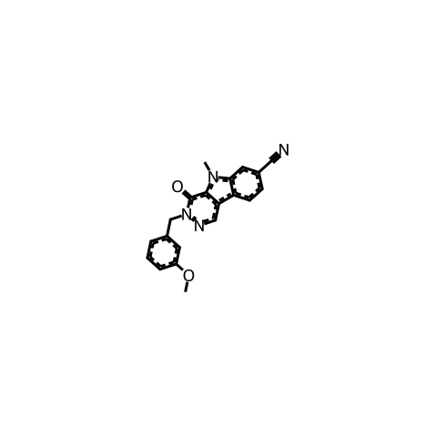 COc1cccc(Cn2ncc3c4ccc(C#N)cc4n(C)c3c2=O)c1